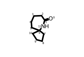 O=C1CCCCC2(CCCC2)N1